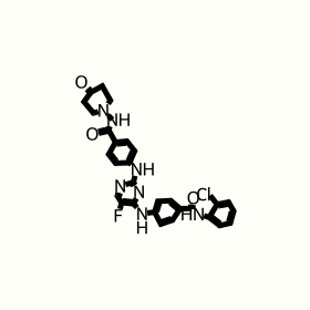 O=C1CCN(NC(=O)c2ccc(Nc3ncc(F)c(Nc4ccc(C(=O)Nc5ccccc5Cl)cc4)n3)cc2)CC1